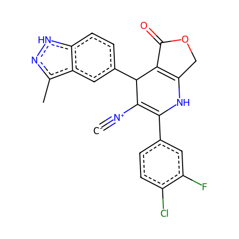 [C-]#[N+]C1=C(c2ccc(Cl)c(F)c2)NC2=C(C(=O)OC2)C1c1ccc2[nH]nc(C)c2c1